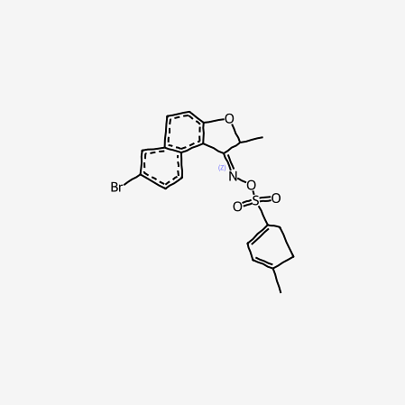 CC1=CC=C(S(=O)(=O)O/N=C2/c3c(ccc4cc(Br)ccc34)OC2C)CC1